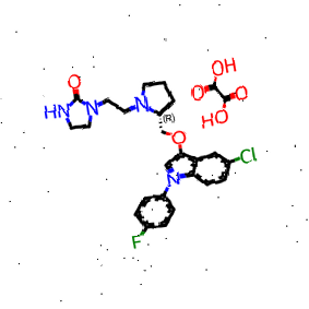 O=C(O)C(=O)O.O=C1NCCN1CCN1CCC[C@@H]1COc1cn(-c2ccc(F)cc2)c2ccc(Cl)cc12